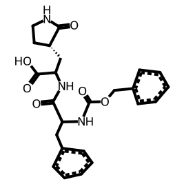 O=C(NC(Cc1ccccc1)C(=O)NC(C[C@@H]1CCNC1=O)C(=O)O)OCc1ccccc1